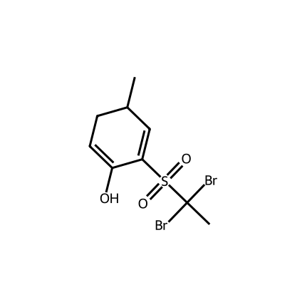 CC1C=C(S(=O)(=O)C(C)(Br)Br)C(O)=CC1